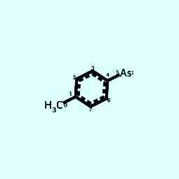 Cc1ccc([As])cc1